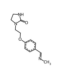 C/N=C/c1ccc(OCCN2CCNC2=O)cc1